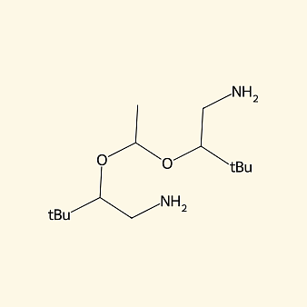 CC(OC(CN)C(C)(C)C)OC(CN)C(C)(C)C